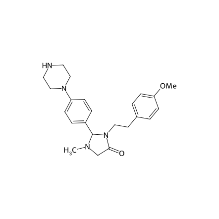 COc1ccc(CCN2C(=O)CN(C)C2c2ccc(N3CCNCC3)cc2)cc1